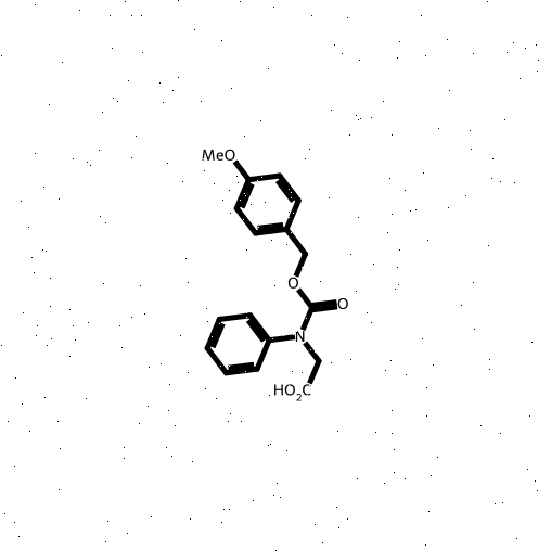 COc1ccc(COC(=O)N(CC(=O)O)c2ccccc2)cc1